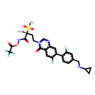 C[C@@](CCn1cnc2cc(-c3ccc(CNC4CC4)cc3F)c(F)cc2c1=O)(C(=O)NOC(=O)C(F)(F)F)S(C)(=O)=O